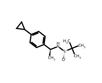 C[C@H](N[S@@+]([O-])C(C)(C)C)c1ccc(C2CC2)cc1